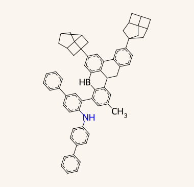 Cc1cc(-c2cc(-c3ccccc3)ccc2Nc2ccc(-c3ccccc3)cc2)c2c(c1)C1Cc3ccc(C45CC6CC7CC(C4)C76C5)cc3-c3cc(C45CC6CC7CC64C7C5)cc(c31)B2